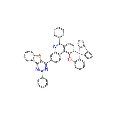 c1ccc(-c2nc(-c3ccc4c(c3)nc(-c3ccccc3)c3ccc5c(c34)Oc3ccccc3C53c4ccccc4-c4ccccc43)c3sc4ccccc4c3n2)cc1